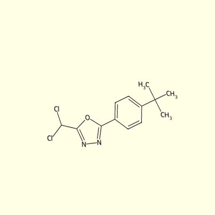 CC(C)(C)c1ccc(-c2nnc(C(Cl)Cl)o2)cc1